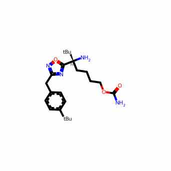 CC(C)(C)c1ccc(Cc2noc([C@](N)(CCCCOC(N)=O)C(C)(C)C)n2)cc1